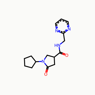 O=C(NCc1ncccn1)C1CC(=O)N(C2CCCC2)C1